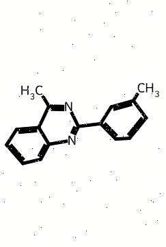 Cc1cccc(-c2nc(C)c3ccccc3n2)c1